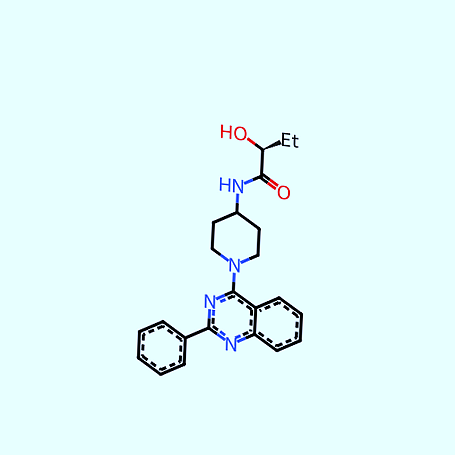 CC[C@H](O)C(=O)NC1CCN(c2nc(-c3ccccc3)nc3ccccc23)CC1